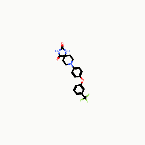 O=C1NC(=O)C2(CCN(c3ccc(Oc4cccc(C(F)(F)F)c4)cc3)CC2)N1